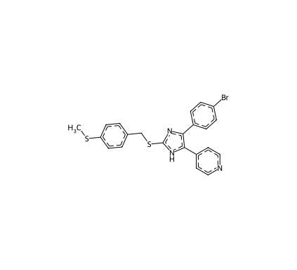 CSc1ccc(CSc2nc(-c3ccc(Br)cc3)c(-c3ccncc3)[nH]2)cc1